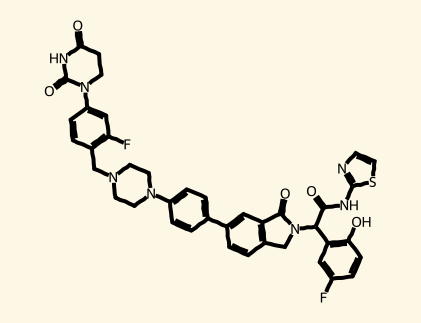 O=C1CCN(c2ccc(CN3CCN(c4ccc(-c5ccc6c(c5)C(=O)N(C(C(=O)Nc5nccs5)c5cc(F)ccc5O)C6)cc4)CC3)c(F)c2)C(=O)N1